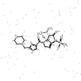 CC(C)[C@@H]1C(=O)N(S(C)(=O)=O)C2=CCN(C(=O)c3csc(CN4CCOCC4)n3)[C@H]21